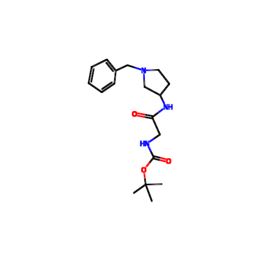 CC(C)(C)OC(=O)NCC(=O)NC1CCN(Cc2ccccc2)C1